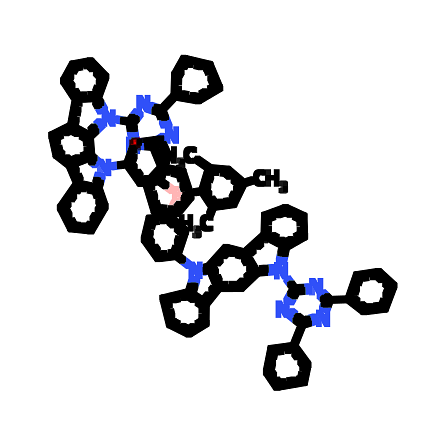 Cc1cc(C)c(B(c2cccc(-n3c4ccccc4c4cc5c(cc43)c3ccccc3n5-c3nc(-c4ccccc4)nc(-c4ccccc4)n3)c2)c2cccc(-n3c4ccccc4c4ccc5c6ccccc6n(-c6nc(-c7ccccc7)nc(-c7ccccc7)n6)c5c43)c2)c(C)c1